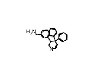 NCc1cccc(C2C=NC=CC2(c2ccccc2)c2ccccc2)c1